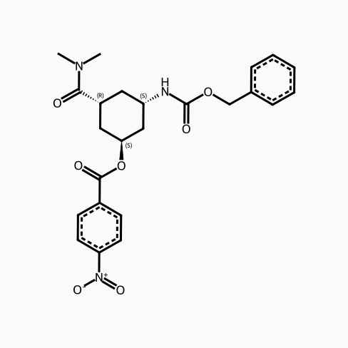 CN(C)C(=O)[C@@H]1C[C@H](NC(=O)OCc2ccccc2)C[C@@H](OC(=O)c2ccc([N+](=O)[O-])cc2)C1